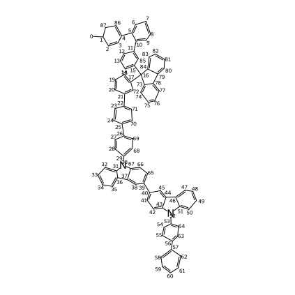 CC1C=CC(c2ccccc2-c2cccc(C3(c4cccc(-c5ccc(-c6ccc(-n7c8ccccc8c8cc(-c9ccc%10c(c9)c9ccccc9n%10-c9ccc(-c%10ccccc%10)cc9)ccc87)cc6)cc5)c4)c4ccccc4-c4ccccc43)c2)=CC1